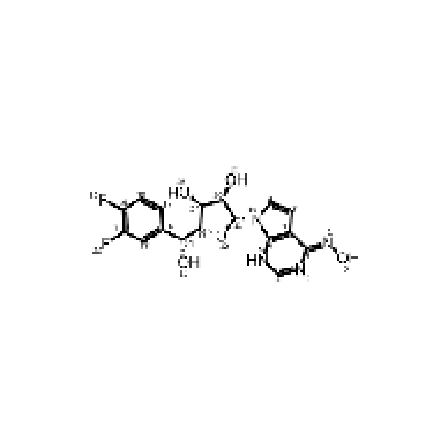 O/N=c1\nc[nH]c2c1ccn2[C@@H]1O[C@H]([C@H](O)c2ccc(F)c(F)c2)[C@@H](O)[C@H]1O